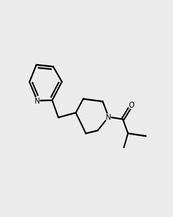 CC(C)C(=O)N1CCC(Cc2ccccn2)CC1